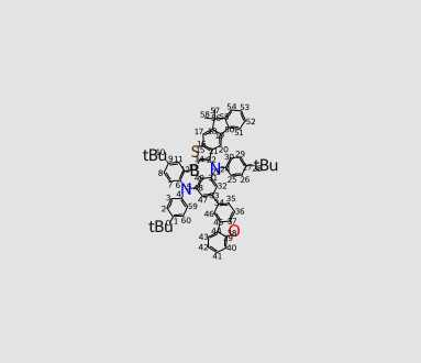 CC(C)(C)c1ccc(N2c3ccc(C(C)(C)C)cc3B3c4sc5cc6c(cc5c4N(c4ccc(C(C)(C)C)cc4)c4cc(-c5ccc7oc8ccccc8c7c5)cc2c43)-c2ccccc2C6(C)C)cc1